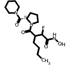 CCCCC(C(=O)N1CCC[C@H]1C(=O)N1CCCCC1)C(F)C(=O)NO